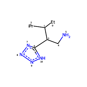 CCC(C(C)C)C(CN)c1nnn[nH]1